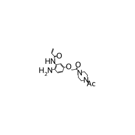 C=CC(=O)Nc1cc(OCC(=O)N2CCN(C(C)=O)CC2)ccc1N